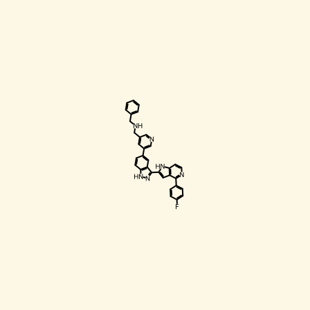 Fc1ccc(-c2nccc3[nH]c(-c4n[nH]c5ccc(-c6cncc(CNCc7ccccc7)c6)cc45)cc23)cc1